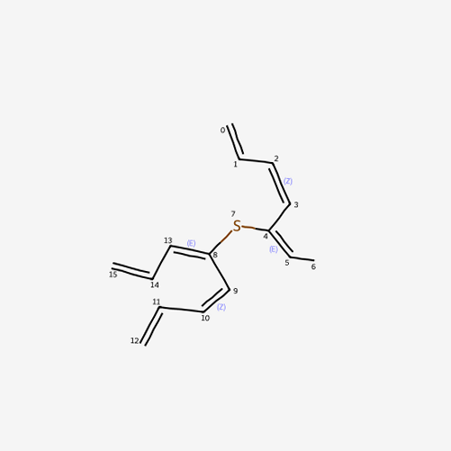 C=C/C=C\C(=C/C)SC(/C=C\C=C)=C/C=C